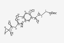 CCCCCCCCCCCCOC(=O)c1cc(NC(=O)CC(=O)C2(CC)CC2)c(Cl)cc1Cl